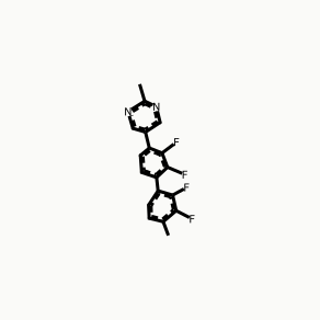 Cc1ncc(-c2ccc(-c3ccc(C)c(F)c3F)c(F)c2F)cn1